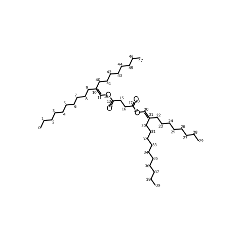 CCCCCCCCCCC(=COC(=O)CCC(=O)OC=C(CCCCCCCC)CCCCCCCCCC)CCCCCCCC